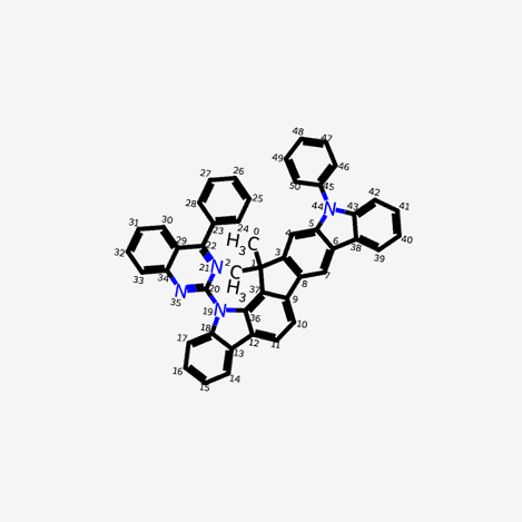 CC1(C)c2cc3c(cc2-c2ccc4c5ccccc5n(-c5nc(-c6ccccc6)c6ccccc6n5)c4c21)c1ccccc1n3-c1ccccc1